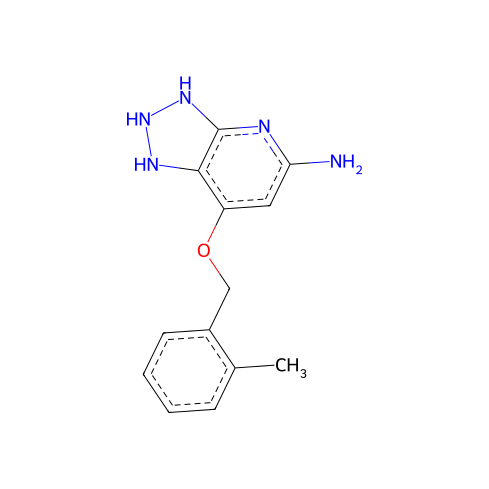 Cc1ccccc1COc1cc(N)nc2c1NNN2